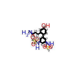 CS(=O)(=O)Nc1cc(NS(C)(=O)=O)cc(-c2ccc(O)cc2CCC(N)=O)c1